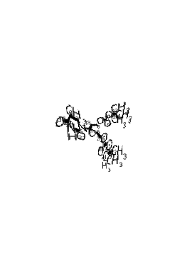 Cc1cn(C(CCOC(=O)OC(C)(C)C)OCCOC(=O)OC(C)(C)C)c(=O)[nH]c1=O